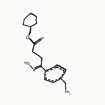 NCc1ccc(C(CCC(=O)OC2CCCCC2)=NO)cc1